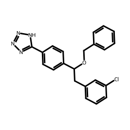 Clc1cccc(CC(OCc2ccccc2)c2ccc(-c3nnn[nH]3)cc2)c1